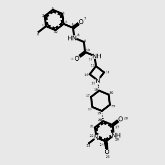 Cc1cccc(C(=O)NCC(=O)NC2CN([C@H]3CC[C@@H](c4cn(C)c(=O)[nH]c4=O)CC3)C2)c1